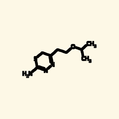 CC(C)OCCC1=NN=C(N)SC1